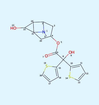 CN1C2CC(OC(=O)C(O)(c3cccs3)c3cccs3)CC13C(O)C23